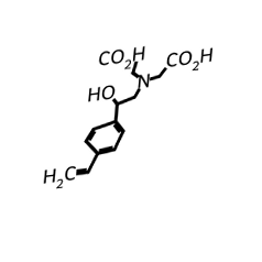 C=Cc1ccc(C(O)CN(CC(=O)O)CC(=O)O)cc1